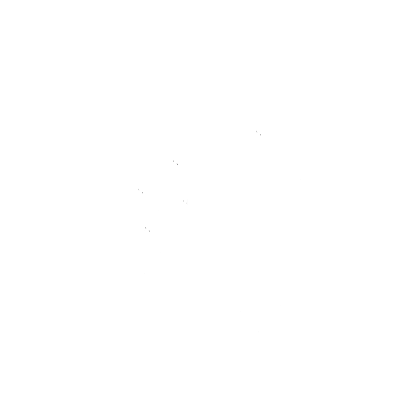 c1ccc(C2N=C(n3c4ccccc4c4ccc(-c5ccc6c(c5)oc5ccccc56)cc43)N=C(c3ccc4c5ccccc5n(-c5ccccc5)c4c3)N2)cc1